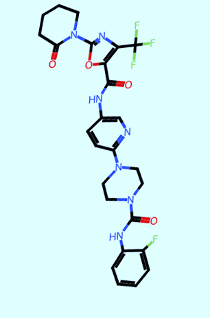 O=C(Nc1ccc(N2CCN(C(=O)Nc3ccccc3F)CC2)nc1)c1oc(N2CCCCC2=O)nc1C(F)(F)F